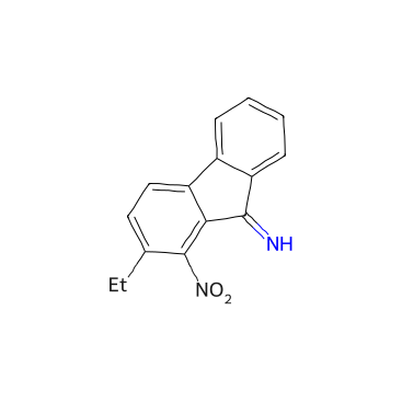 CCc1ccc2c(c1[N+](=O)[O-])C(=N)c1ccccc1-2